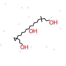 CC(C)(CCCO)CCCCCC(O)CCCCCC1(CCCO)CC1